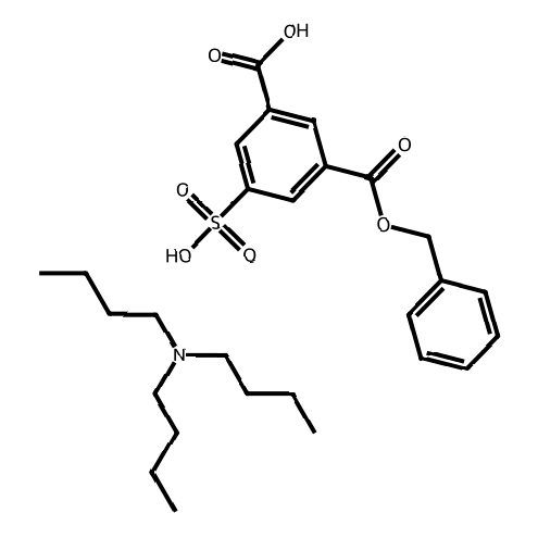 CCCCN(CCCC)CCCC.O=C(O)c1cc(C(=O)OCc2ccccc2)cc(S(=O)(=O)O)c1